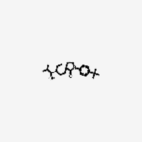 CC(C)C(O)[C@H]1CC[C@@]2(CCN(c3ccc(C(C)(C)C)cc3)C2=O)CC1